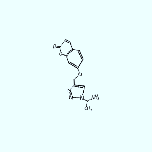 CC(N)n1cc(COc2ccc3ccc(=O)oc3c2)nn1